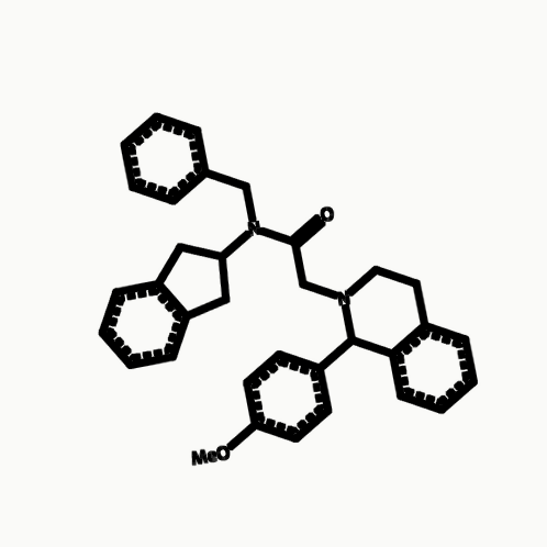 COc1ccc(C2c3ccccc3CCN2CC(=O)N(Cc2ccccc2)C2Cc3ccccc3C2)cc1